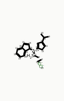 CC.C[SiH2][Zr+2]([C]1=CC(C(C)C)=CC1)[CH]1C=Cc2ccccc21.[Cl-].[Cl-]